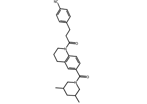 CC1CC(C)CN(C(=O)c2ccc3c(c2)CCCN3C(=O)CCc2ccc(C#N)cc2)C1